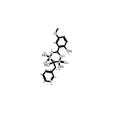 COc1ccc(O)c(C2OP(=O)(O)C(O)(Cc3cccnc3)P(=O)(O)O2)c1